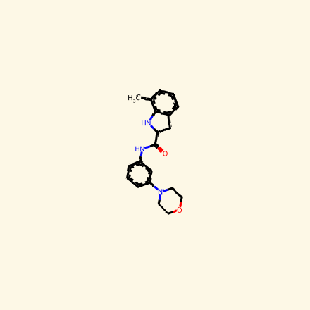 Cc1cccc2c1NC(C(=O)Nc1cccc(N3CCOCC3)c1)C2